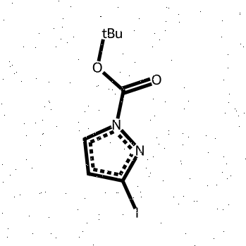 CC(C)(C)OC(=O)n1ccc(I)n1